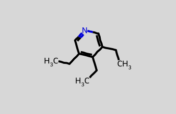 CCc1cncc(CC)c1CC